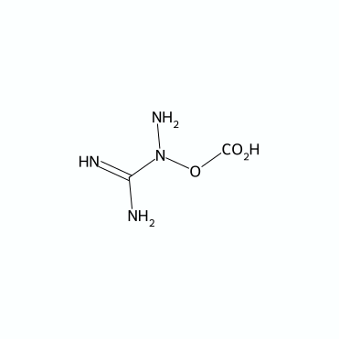 N=C(N)N(N)OC(=O)O